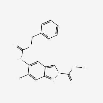 CC(C)(C)OC(=O)n1cc2cc(NC(=O)OCc3ccccc3)c(Cl)cc2n1